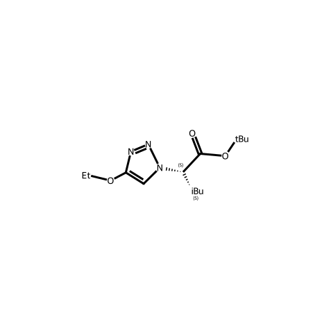 CCOc1cn([C@H](C(=O)OC(C)(C)C)[C@@H](C)CC)nn1